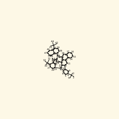 CC(C)(C)c1ccc2c(c1)-c1cc3c4ccccc4cc4c3c3c1B2c1ccc(C(C)(C)C)c2nc(n4-c4ccc(C(C)(C)C)c5ccccc45)n3c12